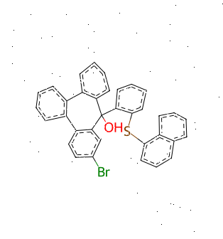 OC1(c2ccccc2Sc2cccc3ccccc23)c2ccccc2-c2ccccc2-c2ccc(Br)cc21